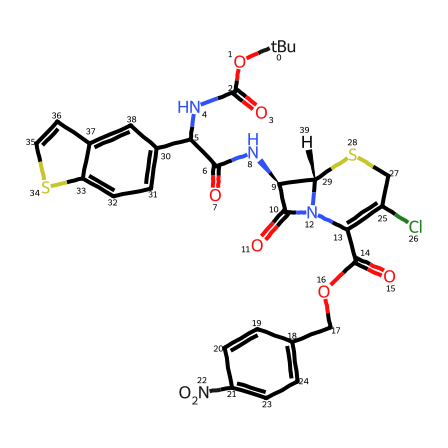 CC(C)(C)OC(=O)NC(C(=O)N[C@@H]1C(=O)N2C(C(=O)OCc3ccc([N+](=O)[O-])cc3)=C(Cl)CS[C@@H]12)c1ccc2sccc2c1